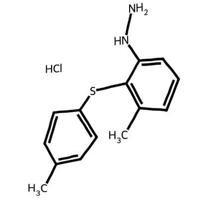 Cc1ccc(Sc2c(C)cccc2NN)cc1.Cl